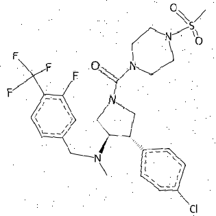 CN(Cc1ccc(C(F)(F)F)c(F)c1)[C@H]1CN(C(=O)N2CCN(S(C)(=O)=O)CC2)C[C@@H]1c1ccc(Cl)cc1